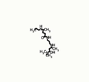 CCCNC(C)CCC(=O)NCCCNC(C)CC(O)N(C)C